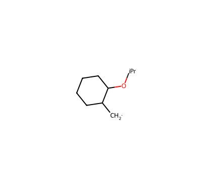 [CH2]C1CCCCC1OC(C)C